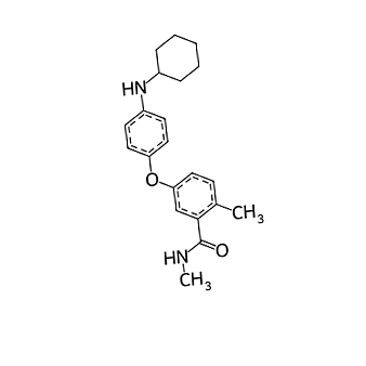 CNC(=O)c1cc(Oc2ccc(NC3CCCCC3)cc2)ccc1C